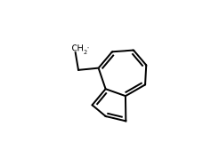 [CH2]Cc1ccccc2cccc1-2